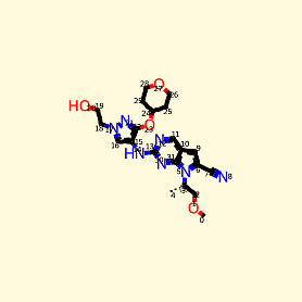 COC[C@H](C)n1c(C#N)cc2cnc(Nc3cn(CCO)nc3OC3CCOCC3)nc21